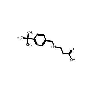 CC(C)(C)c1ccc(CNCCC(=O)O)cc1